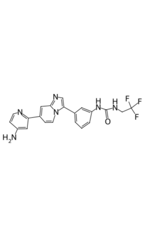 Nc1ccnc(-c2ccn3c(-c4cccc(NC(=O)NCC(F)(F)F)c4)cnc3c2)c1